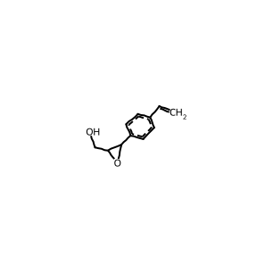 C=Cc1ccc(C2OC2CO)cc1